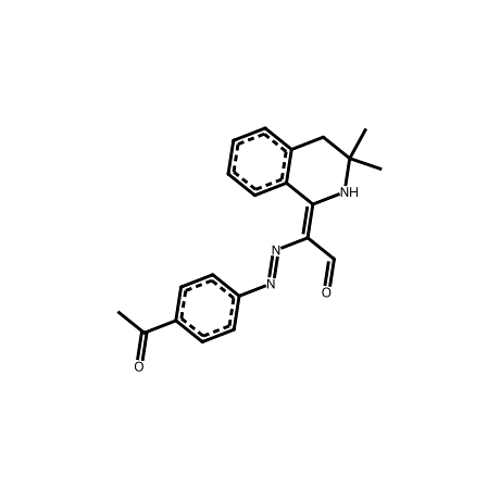 CC(=O)c1ccc(N=NC(C=O)=C2NC(C)(C)Cc3ccccc32)cc1